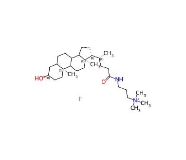 C[C@H](CCC(=O)NCCC[N+](C)(C)C)[C@H]1CCC2C3CCC4C[C@H](O)CC[C@]4(C)C3CC[C@@]21C.[I-]